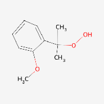 COc1ccccc1C(C)(C)OO